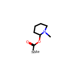 CNC(=O)O[C]1CCCCN1C